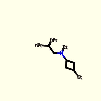 CCCC(CCC)CN(CC)C1CC(CC)C1